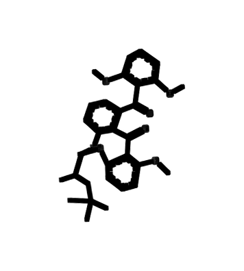 COc1cccc(OC)c1C(=O)c1cccc(PCC(C)CC(C)(C)C)c1C(=O)c1c(OC)cccc1OC